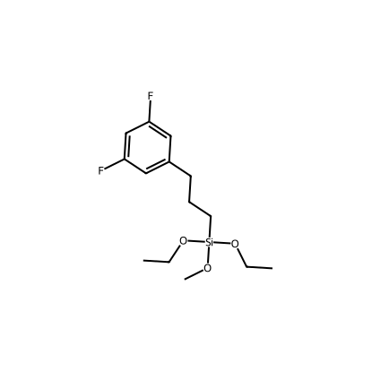 CCO[Si](CCCc1cc(F)cc(F)c1)(OC)OCC